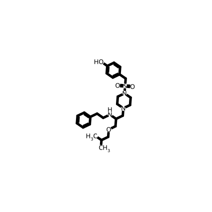 CC(C)COCC(CN1CCN(S(=O)(=O)Cc2ccc(O)cc2)CC1)NCCc1ccccc1